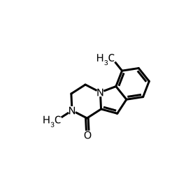 Cc1cccc2cc3n(c12)CCN(C)C3=O